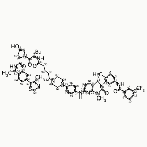 Cc1ccc(NC(=O)c2cccc(C(F)(F)F)c2)cc1N1Cc2cnc(Nc3ccc(N4CCN(CCCCC(=O)N[C@H](C(=O)N5C[C@H](O)C[C@H]5C(=O)N[C@@H](C)c5ccc(-c6scnc6C)cc5)C(C)(C)C)CC4)nc3)nc2N(C)C1=O